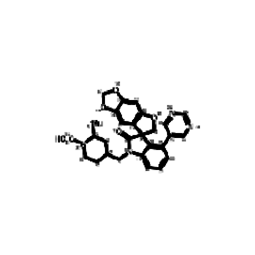 CC(C)(C)C1CC(CN2C(=O)C3(COc4cc5c(cc43)OCO5)c3c(-c4cncnc4)cccc32)CCN1C(=O)O